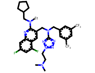 CCN(CC1CCCC1)c1nc2cc(F)cc(F)c2cc1CN(Cc1cc(C(F)(F)F)cc(C(F)(F)F)c1)c1nnn(CCN(C)C)n1